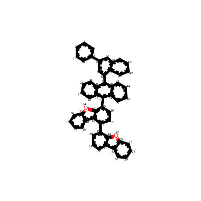 c1ccc(-c2cc(-c3c4ccccc4c(-c4ccc(-c5cccc6c5oc5ccccc56)c5c4oc4ccccc45)c4ccccc34)c3ccccc3c2)cc1